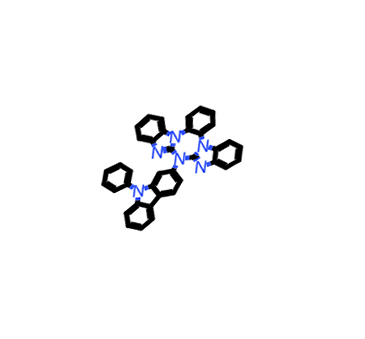 c1ccc(-n2c3ccccc3c3ccc(-n4c5nc6ccccc6n5c5ccccc5n5c6ccccc6nc45)cc32)cc1